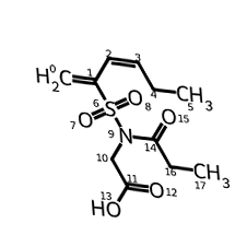 C=C(/C=C\CC)S(=O)(=O)N(CC(=O)O)C(=O)CC